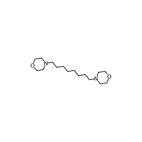 C(CCCCN1CCOCC1)CCCN1CCOCC1